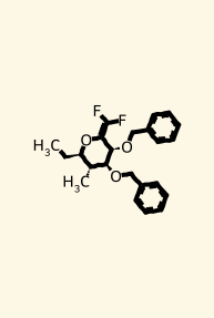 CC[C@H]1OC(=C(F)F)[C@H](OCc2ccccc2)[C@@H](OCc2ccccc2)[C@@H]1C